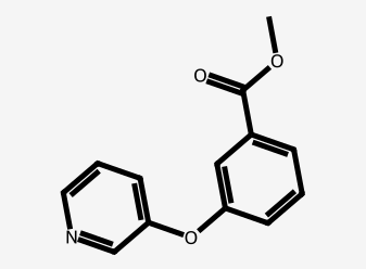 COC(=O)c1cccc(Oc2cccnc2)c1